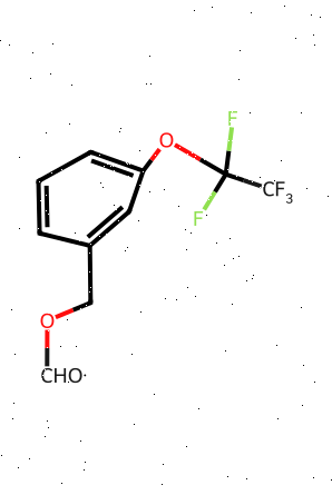 O=[C]OCc1cccc(OC(F)(F)C(F)(F)F)c1